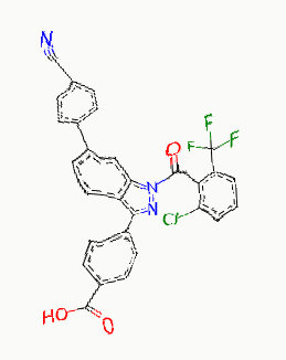 N#Cc1ccc(-c2ccc3c(-c4ccc(C(=O)O)cc4)nn(C(=O)c4c(Cl)cccc4C(F)(F)F)c3c2)cc1